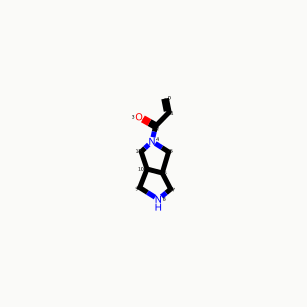 C=CC(=O)N1CC2CNCC2C1